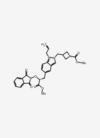 C=CC[n+]1c2ccc(C[C@H](ON3C(=O)c4ccccc4C3=O)C(=O)OC(C)(C)C)cc2cn1CC1CN(C(=O)OC(C)(C)C)C1